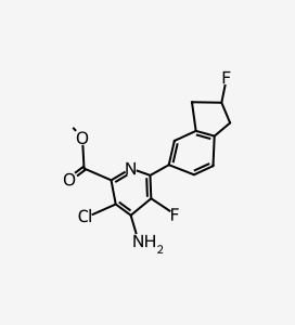 COC(=O)c1nc(-c2ccc3c(c2)CC(F)C3)c(F)c(N)c1Cl